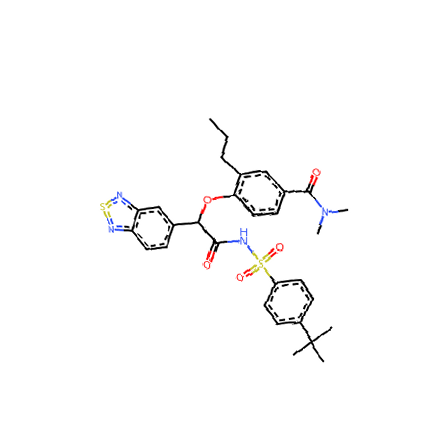 CCCc1cc(C(=O)N(C)C)ccc1OC(C(=O)NS(=O)(=O)c1ccc(C(C)(C)C)cc1)c1ccc2nsnc2c1